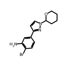 Nc1cc(-c2ccn(C3CCCCO3)n2)ccc1Br